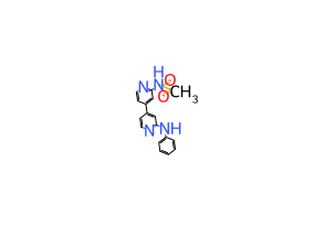 CS(=O)(=O)Nc1cc(-c2ccnc(Nc3ccccc3)c2)ccn1